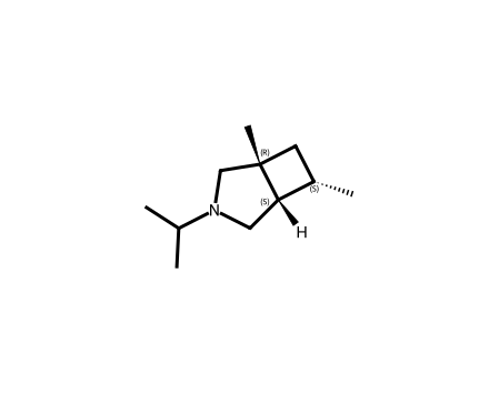 CC(C)N1C[C@H]2[C@@H](C)C[C@@]2(C)C1